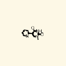 Cn1cc(-c2ccccn2)c(=O)[nH]c1=O